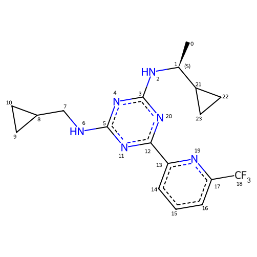 C[C@H](Nc1nc(NCC2CC2)nc(-c2cccc(C(F)(F)F)n2)n1)C1CC1